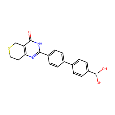 O=c1[nH]c(-c2ccc(-c3ccc(B(O)O)cc3)cc2)nc2c1CSCC2